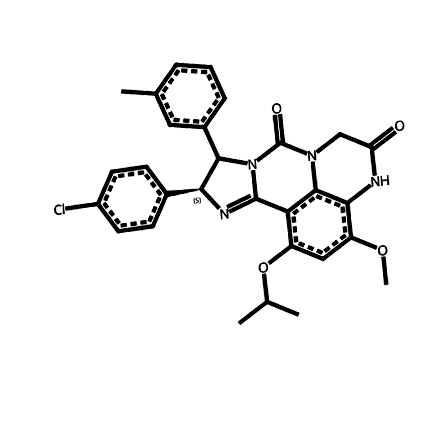 COc1cc(OC(C)C)c2c3c1NC(=O)CN3C(=O)N1C2=N[C@@H](c2ccc(Cl)cc2)C1c1cccc(C)c1